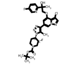 Cc1c(-c2cc(OCC(C)(O)c3ccc(F)cn3)c3c(Cl)cnn3c2)nnn1[C@@H]1CCN(C(=O)OC(C)(C)C)C[C@H]1F